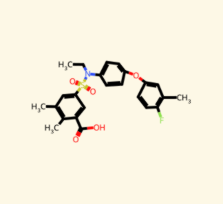 CCN(c1ccc(Oc2ccc(F)c(C)c2)cc1)S(=O)(=O)c1cc(C)c(C)c(C(=O)O)c1